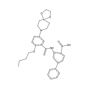 CCCCOc1ccc(N2CCC3(CC2)OCCO3)cc1C(=O)Nc1cc(-c2ccccc2)ccc1C(=O)O